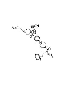 COCCN1CCC(C(=O)NO)(S(=O)(=O)c2ccc(N3CCC(C(=O)N(C)CCc4ccccn4)CC3)cc2)CC1